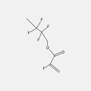 C=C(F)C(=O)OCC(F)(F)C(C)(F)F